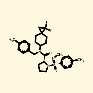 CN=[S@](=O)(c1ccc(C)cc1)N1CCC[C@H]1C(=O)N(Cc1ccc(C)cc1)C1CCC2(CC1)CC2(F)F